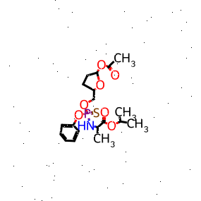 CC(=O)OC1CCC(COP(=S)(NC(C)C(=O)OC(C)C)Oc2ccccc2)O1